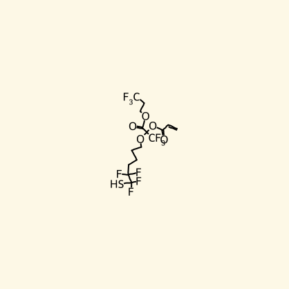 C=CC(=O)OC(OCCCCC(F)(F)C(F)(F)S)(C(=O)OCCC(F)(F)F)C(F)(F)F